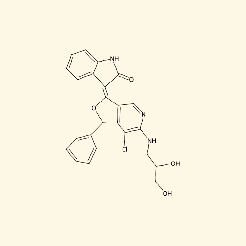 O=C1Nc2ccccc2/C1=C1\OC(c2ccccc2)c2c1cnc(NCC(O)CO)c2Cl